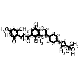 Cc1cc(C)c(CNC(=O)c2cc(Cl)c3c(c2C)OC(C2CCC(N4CC(C(C)(C)O)C4)CC2)CO3)c(=O)[nH]1